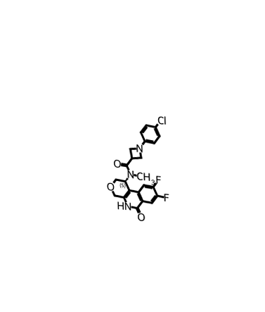 CN(C(=O)C1CN(c2ccc(Cl)cc2)C1)[C@@H]1COCc2[nH]c(=O)c3cc(F)c(F)cc3c21